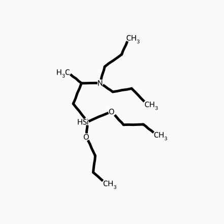 CCCO[SiH](CC(C)N(CCC)CCC)OCCC